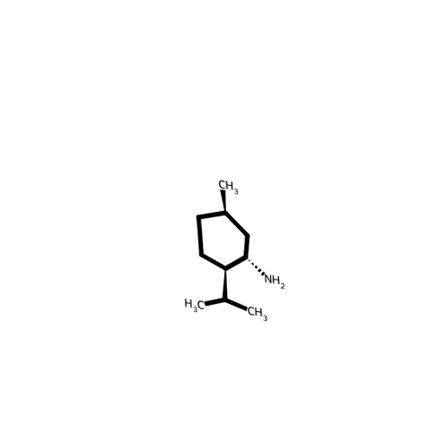 CC(C)[C@H]1CC[C@@H](C)C[C@@H]1N